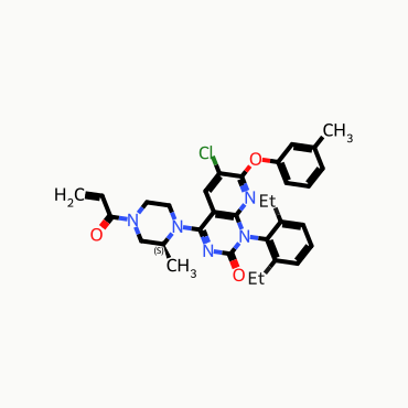 C=CC(=O)N1CCN(c2nc(=O)n(-c3c(CC)cccc3CC)c3nc(Oc4cccc(C)c4)c(Cl)cc23)[C@@H](C)C1